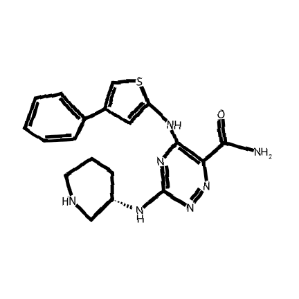 NC(=O)c1nnc(N[C@H]2CCCNC2)nc1Nc1cc(-c2ccccc2)cs1